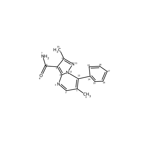 Cc1cnc2c(C(N)=O)c(C)nn2c1-c1ccccc1